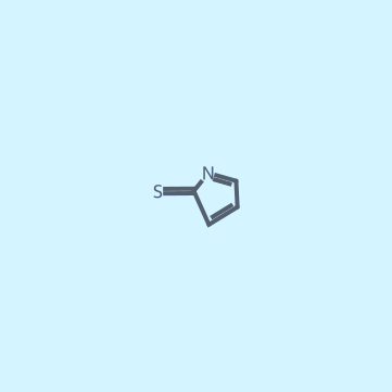 S=C1C=CC=N1